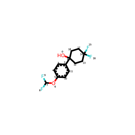 OC1(c2ccc(OC(F)F)cc2)CCC(F)(F)CC1